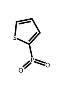 O=P(=O)c1cccs1